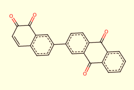 O=C1C=Cc2ccc(-c3ccc4c(c3)C(=O)c3ccccc3C4=O)cc2C1=O